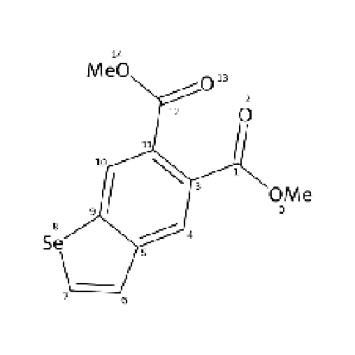 COC(=O)c1cc2cc[se]c2cc1C(=O)OC